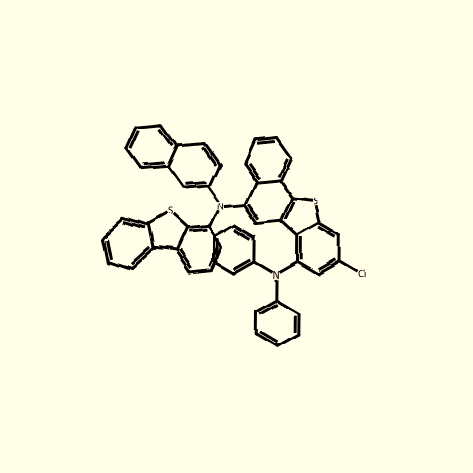 Clc1cc(N(c2ccccc2)c2ccccc2)c2c(c1)sc1c3ccccc3c(N(c3ccc4ccccc4c3)c3cccc4c3sc3ccccc34)cc12